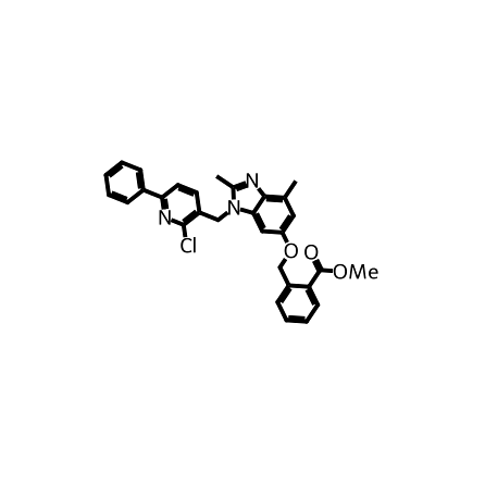 COC(=O)c1ccccc1COc1cc(C)c2nc(C)n(Cc3ccc(-c4ccccc4)nc3Cl)c2c1